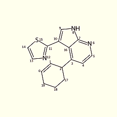 C1=CC(c2ccnc3[nH]cc(-c4nccs4)c23)CCC1